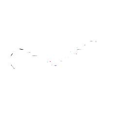 CC/C=C\C/C=C\C/C=C\CCCCCCCC(=O)N[C@H](C)CCCCNC(=O)CCCCCCCCCCCCCCC